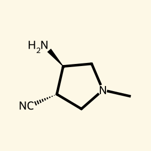 CN1C[C@H](N)[C@@H](C#N)C1